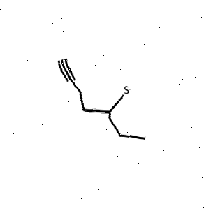 C#CCC([S])CC